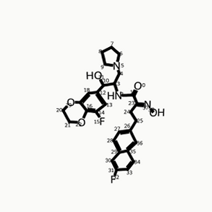 O=C(NC(CN1CCCC1)C(O)c1cc(F)c2c(c1)OCCO2)/C(CCc1ccc2cc(F)ccc2c1)=N/O